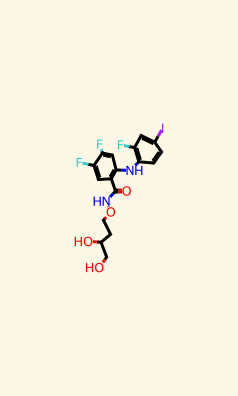 O=C(NOCCC(O)CO)c1cc(F)c(F)cc1Nc1ccc(I)cc1F